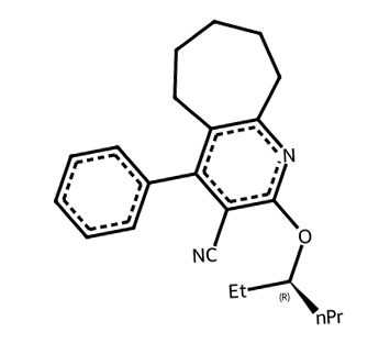 CCC[C@@H](CC)Oc1nc2c(c(-c3ccccc3)c1C#N)CCCCC2